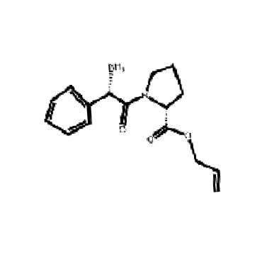 C=CCOC(=O)[C@H]1CCCN1C(=O)[C@@H](N)c1ccccc1